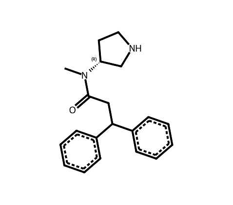 CN(C(=O)CC(c1ccccc1)c1ccccc1)[C@@H]1CCNC1